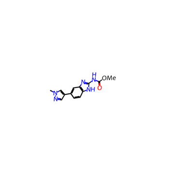 COC(=O)Nc1nc2cc(-c3cnn(C)c3)ccc2[nH]1